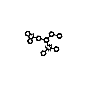 c1ccc(-c2cccc(-c3cc(-c4ccc(-c5nc6ccccc6c6ccccc56)cc4)cc(-c4nc(-c5ccccc5)nc(-c5ccccc5)n4)c3)c2)cc1